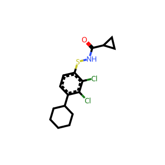 O=C(NSc1ccc(C2CCCCC2)c(Cl)c1Cl)C1CC1